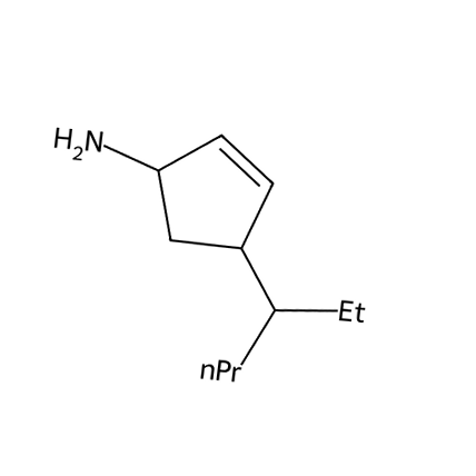 CCCC(CC)C1C=CC(N)C1